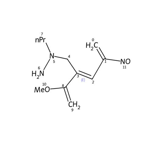 C=C(/C=C(\CN(N)CCC)C(=C)OC)N=O